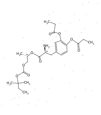 CCC(=O)Oc1ccc(C[C@H](N)C(=O)O[C@@H](C)COC(=O)OC(C)(C)CC)cc1OC(=O)CC